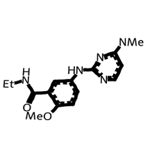 CCNC(=O)c1cc(Nc2nccc(NC)n2)ccc1OC